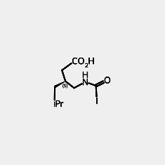 CC(C)C[C@H](CNC(=O)I)CC(=O)O